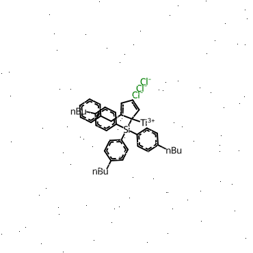 CCCCc1ccc([Si](c2ccc(CCCC)cc2)(c2ccc(CCCC)cc2)[C]2([Ti+3])C=CC=C2Cc2ccccc2)cc1.[Cl-].[Cl-].[Cl-]